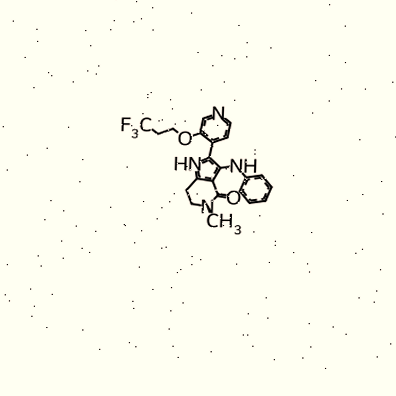 CN1CCc2[nH]c(-c3ccncc3OCCC(F)(F)F)c(Nc3ccccc3)c2C1=O